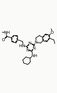 CCc1cc2c(cc1OC)CCN(c1nc(NCc3ccc(C(=O)NC)cc3)nc(NC3CCCCC3)n1)C2